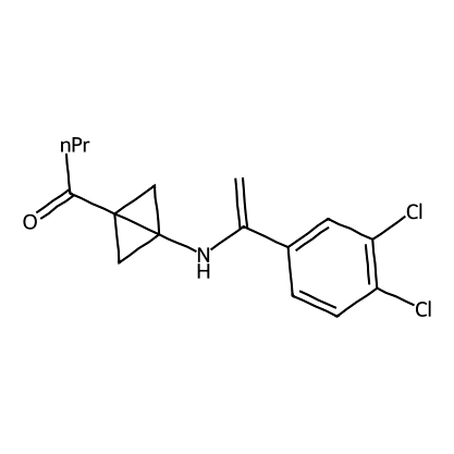 C=C(NC12CC1(C(=O)CCC)C2)c1ccc(Cl)c(Cl)c1